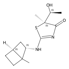 C[C@H](O)[C@]1(C)SC(N[C@H]2C[C@@H]3CCC32C)=NC1=O